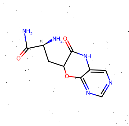 NC(=O)[C@@H](N)CC1Oc2ncncc2NC1=O